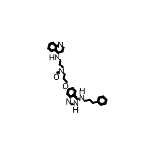 O=CN(CCCNc1ccnc2ccccc12)CCCOc1ccc2c(c1)N=CNC2NCCCc1ccccc1